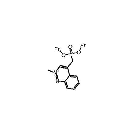 CCOP(=O)(Cc1c[n+](C)nc2ccccc12)OCC